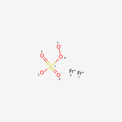 O=S(=O)([O-])O[O-].[Fr+].[Fr+]